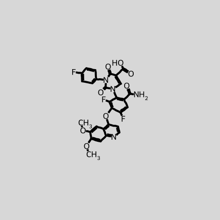 COc1cc2nccc(Oc3c(F)cc(C(N)=O)c(-n4cc(C(=O)O)c(=O)n(-c5ccc(F)cc5)c4=O)c3F)c2cc1OC